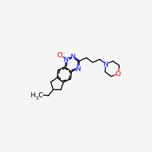 CCC1Cc2cc3nc(CCCN4CCOCC4)n[n+]([O-])c3cc2C1